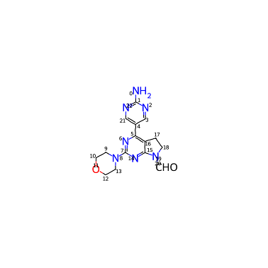 Nc1ncc(-c2nc(N3CCOCC3)nc3c2CCN3C=O)cn1